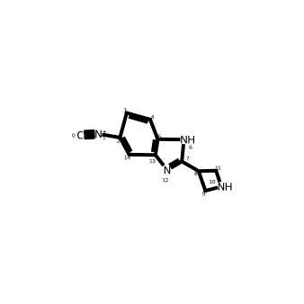 [C-]#[N+]c1ccc2[nH]c(C3CNC3)nc2c1